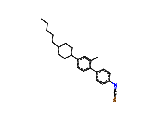 CCCCCC1CCC(c2ccc(-c3ccc(N=C=S)cc3)c(C)c2)CC1